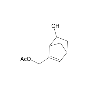 CC(=O)OCC1=CC2CC(O)C1C2